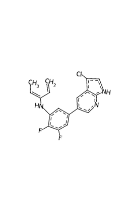 C=C/C(=C\C)Nc1cc(-c2cnc3[nH]cc(Cl)c3c2)cc(F)c1F